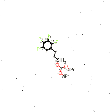 CC(C)OC(O[SiH2]CCc1cc(F)c(F)c(F)c1F)OC(C)C